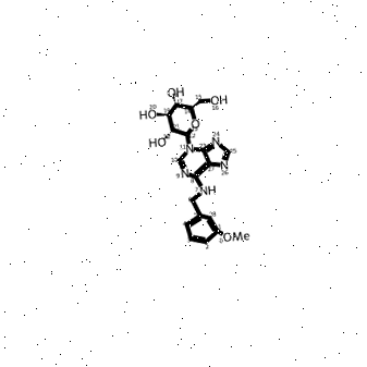 COc1cccc(CNc2ncn(C3O[C@H](CO)[C@@H](O)[C@H](O)[C@H]3O)c3ncnc2-3)c1